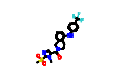 Cn1c(C(=O)N2CCc3c(cccc3Nc3ccc(C(F)(F)F)cc3)C2)cnc1S(C)(=O)=O